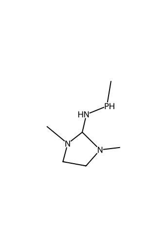 CPNC1N(C)CCN1C